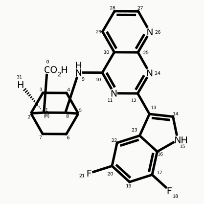 O=C(O)[C@@H]1C2CCC(CC2)C1Nc1nc(-c2c[nH]c3c(F)cc(F)cc23)nc2ncccc12